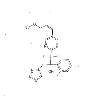 CCOC/C=C\c1ccc(C(F)(F)C(O)(Cn2cnnn2)c2ccc(F)cc2F)nc1